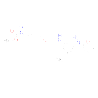 CC(C)(C)OC(=O)NCCCCOCCNc1cc(CC#N)cc2c1cnn2C1CCCCO1